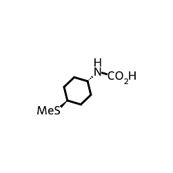 CS[C@H]1CC[C@H](NC(=O)O)CC1